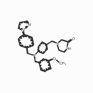 COc1cccc(CN(Cc2ccc(-n3cccn3)cc2)c2ccc(CN3CCNC(=O)C3)cc2)c1